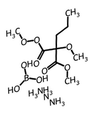 CCCC(OC)(C(=O)OC)C(=O)OOC.N.N.N.OB(O)O